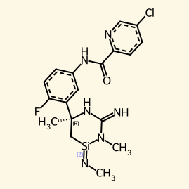 C/N=[Si]1/C[C@@](C)(c2cc(NC(=O)c3ccc(Cl)cn3)ccc2F)NC(=N)N1C